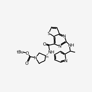 CC(Nc1nc(C(=O)N[C@@H]2CCN(C(=O)OC(C)(C)C)C2)c2sccc2n1)c1ccccn1